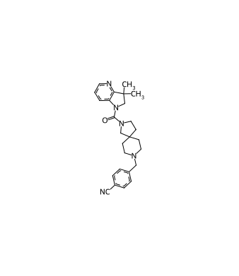 CC1(C)CN(C(=O)N2CCC3(CCN(Cc4ccc(C#N)cc4)CC3)C2)c2cccnc21